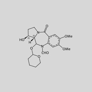 COc1cc2c(cc1OC)N(C=O)C(OC1CCCCO1)[C@@H]1[C@@H](O)CCN1C2=O